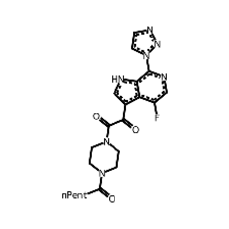 CCCCCC(=O)N1CCN(C(=O)C(=O)c2c[nH]c3c(-n4ccnn4)ncc(F)c23)CC1